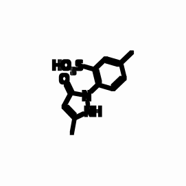 Cc1ccc(-n2[nH]c(C)cc2=O)c(S(=O)(=O)O)c1